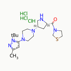 Cc1cc(N2CCN([C@@H]3CN[C@H](C(=O)N4CCSC4)C3)CC2)n(C(C)(C)C)n1.Cl.Cl.Cl